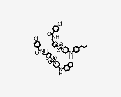 CCCc1ccc(NC2CCN(S(=O)(=O)c3ccc(CNC(=O)c4ccc(Cl)cc4)s3)CC2)cc1.O=C(NCc1ccc(S(=O)(=O)N2CCC(Nc3ccc4c(c3)CCC4)CC2)s1)c1ccc(Cl)cc1